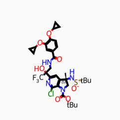 CC(C)(C)OC(=O)N1C[C@@](C)(N[S+]([O-])C(C)(C)C)c2cc(C(O)(CNC(=O)c3ccc(OC4CC4)c(OC4CC4)c3)C(F)(F)F)nc(Cl)c21